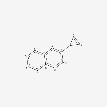 C1=CC1c1cc2ccccc2cn1